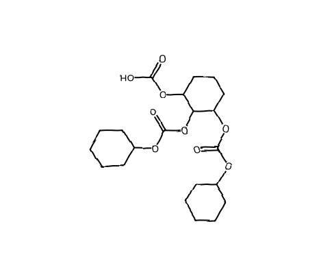 O=C(O)OC1CCCC(OC(=O)OC2CCCCC2)C1OC(=O)OC1CCCCC1